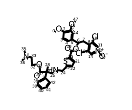 COc1ccc(C(Cc2c(Cl)c[n+]([O-])cc2Cl)OC(=O)c2ccc(CNCC(C)(C(=O)OCCN(C)C)c3ccccc3)s2)cc1OC